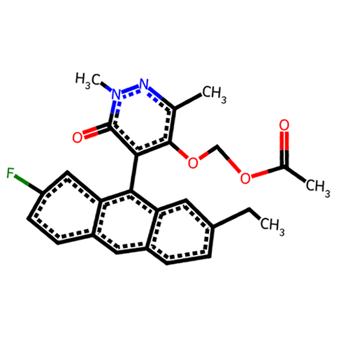 CCc1ccc2cc3ccc(F)cc3c(-c3c(OCOC(C)=O)c(C)nn(C)c3=O)c2c1